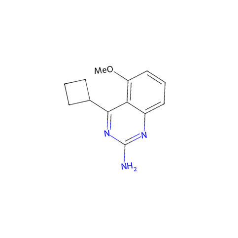 COc1cccc2nc(N)nc(C3CCC3)c12